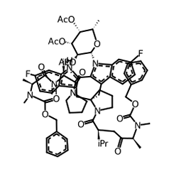 CC(=O)O[C@@H]1[C@H](OC(C)=O)[C@H](C)O[C@H](n2c(-c3[nH]c4cc(F)ccc4c3CC3CCCN3C(=O)[C@@H](CC(=O)[C@H](C)N(C)C(=O)OCc3ccccc3)C(C)C)c(C[C@@H]3CCCN3C(=O)[C@@H](NC(=O)[C@H](C)N(C)C(=O)OCc3ccccc3)C(C)C)c3ccc(F)cc32)[C@H]1OC(C)=O